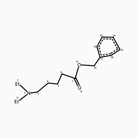 CCN(CC)CCCCC(=O)OCc1ccccc1